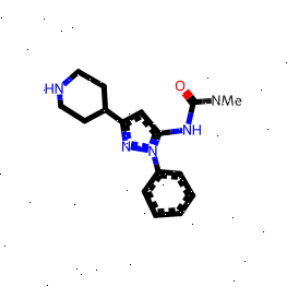 CNC(=O)Nc1cc(C2CCNCC2)nn1-c1ccccc1